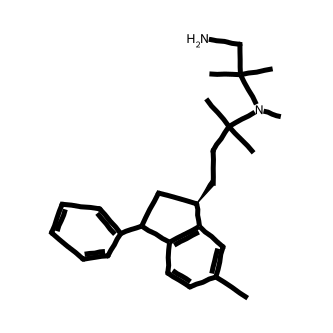 Cc1ccc2c(c1)[C@H](CCC(C)(C)N(C)C(C)(C)CN)CC2c1ccccc1